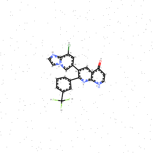 O=c1cc[nH]c2nc(-c3cccc(C(F)(F)F)c3)c(-c3cc(Cl)c4nccn4c3)cc12